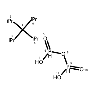 CC(C)C(C(C)C)(C(C)C)C(C)C.O=[PH](O)O[PH](=O)O